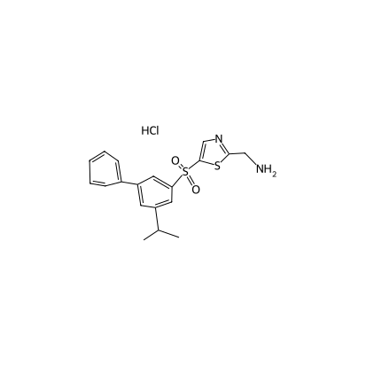 CC(C)c1cc(-c2ccccc2)cc(S(=O)(=O)c2cnc(CN)s2)c1.Cl